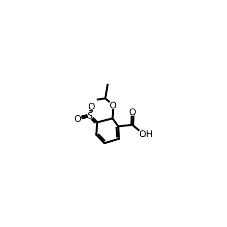 CC(C)OC1C(C(=O)O)=CC=CC1=S(=O)=O